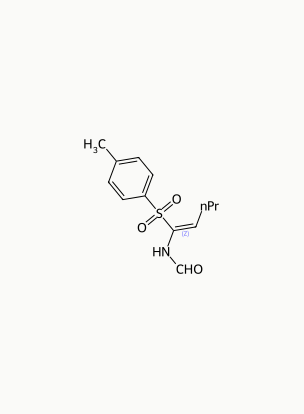 CCC/C=C(/NC=O)S(=O)(=O)c1ccc(C)cc1